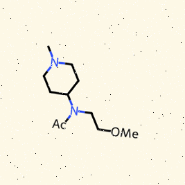 COCCN(C(C)=O)C1CCN(C)CC1